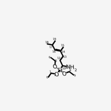 CCO[Si](OCC)(OCC)C(N)CCC(C)=CC(C)C